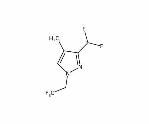 Cc1cn(CC(F)(F)F)nc1C(F)F